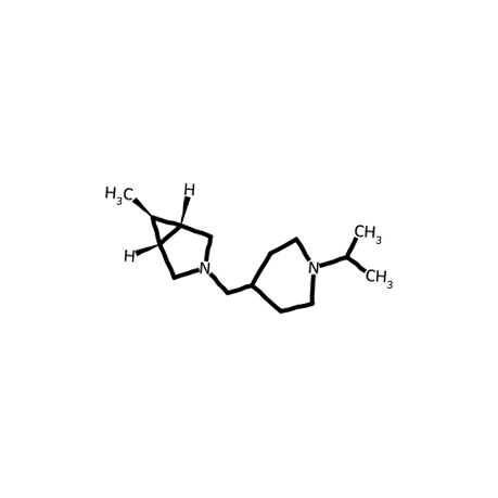 CC(C)N1CCC(CN2C[C@@H]3[C@@H](C)[C@@H]3C2)CC1